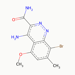 COc1cc(C)c(Br)c2nnc(C(N)=O)c(N)c12